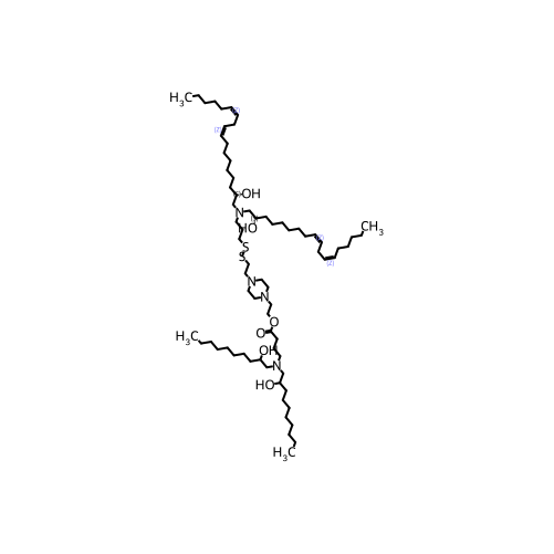 CCCCC/C=C\C/C=C\CCCCCC[C@H](O)CN(CCCSSCCN1CCN(CCOC(=O)CCCN(CC(O)CCCCCCCC)CC(O)CCCCCCCC)CC1)C[C@@H](O)CCCCCC/C=C\C/C=C\CCCCC